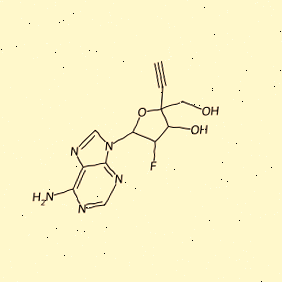 C#CC1(CO)OC(n2cnc3c(N)ncnc32)C(F)C1O